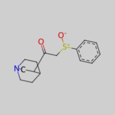 O=C(C[S+]([O-])c1ccccc1)C1CN2CCC1CC2